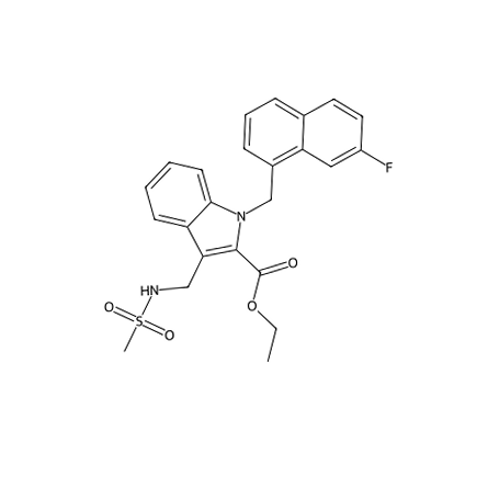 CCOC(=O)c1c(CNS(C)(=O)=O)c2ccccc2n1Cc1cccc2ccc(F)cc12